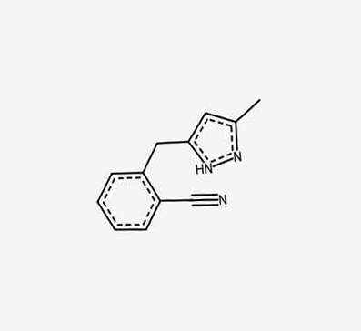 Cc1cc(Cc2ccccc2C#N)[nH]n1